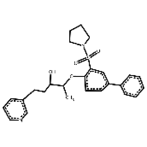 CC(Oc1ccc(-c2ccccc2)cc1S(=O)(=O)N1CCCC1)C(O)CCc1cccnc1